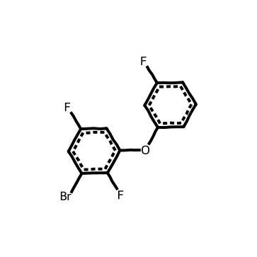 Fc1cccc(Oc2cc(F)cc(Br)c2F)c1